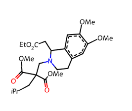 CCOC(=O)CC1c2cc(OC)c(OC)cc2CCN1CC(CC(C)C)(C(=O)OC)C(=O)OC